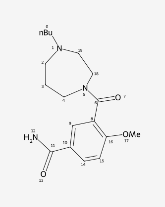 CCCCN1CCCN(C(=O)c2cc(C(N)=O)ccc2OC)CC1